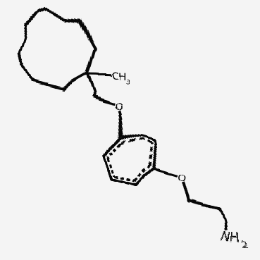 CC1(COc2cccc(OCCN)c2)CCCCCCC1